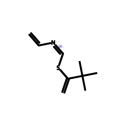 C=C/N=C\SC(=C)C(C)(C)C